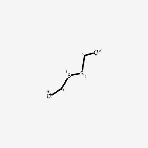 ClCSSCCl